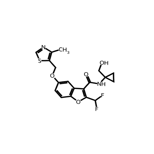 Cc1ncsc1COc1ccc2oc(C(F)F)c(C(=O)NC3(CO)CC3)c2c1